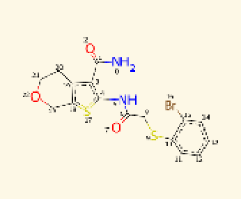 NC(=O)c1c(NC(=O)CSc2ccccc2Br)sc2c1CCOC2